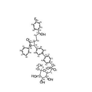 COC1OC(CS(=O)(=O)Oc2ccc(-c3ccc(C4C(CCC(O)c5ccc(F)cc5)C(=O)N4c4ccccc4)cc3)cc2)C(O)C(O)C1O